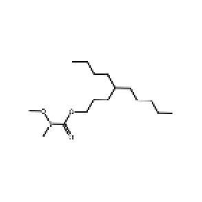 CCCCCC(CCCC)CCCOC(=O)N(C)OC